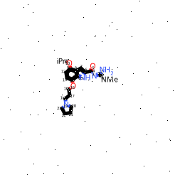 CNC(N)=NC(=O)c1cc2c(OC(C)C)ccc(OCCCN3CCCC3)c2[nH]1